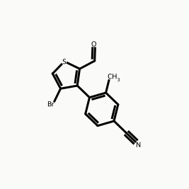 Cc1cc(C#N)ccc1-c1c(Br)csc1C=O